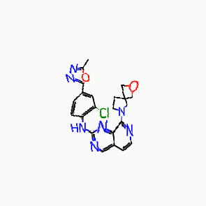 Cc1nnc(-c2ccc(Nc3ncc4ccnc(N5CCC6(COC6)C5)c4n3)c(Cl)c2)o1